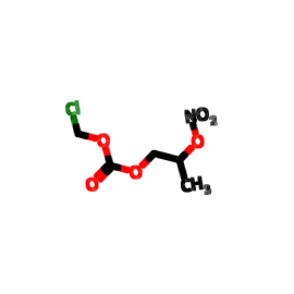 CC(COC(=O)OCCl)O[N+](=O)[O-]